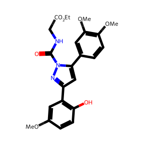 CCOC(=O)CNC(=O)n1nc(-c2cc(OC)ccc2O)cc1-c1ccc(OC)c(OC)c1